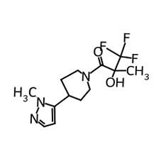 Cn1nccc1C1CCN(C(=O)C(C)(O)C(F)(F)F)CC1